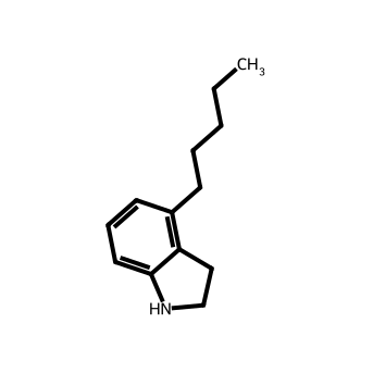 CCCCCc1cccc2c1CCN2